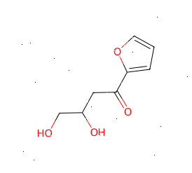 O=C(CC(O)CO)c1ccco1